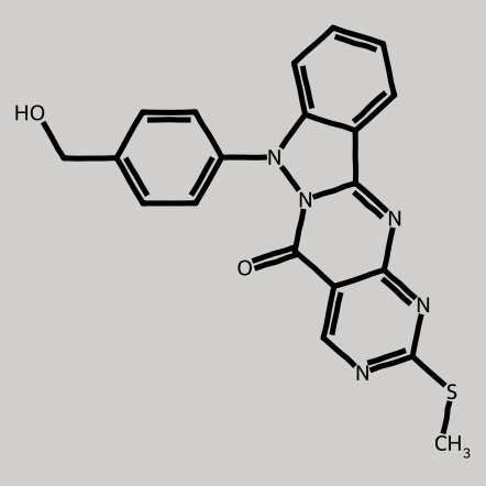 CSc1ncc2c(=O)n3c(nc2n1)c1ccccc1n3-c1ccc(CO)cc1